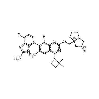 CC1(C)CCN1c1nc(OC[C@@]23CCCN2C[C@H](F)C3)nc2c(F)c(-c3ccc(F)c4sc(N)nc34)c(C(F)(F)F)cc12